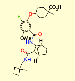 COc1cc(F)c(OC2CCC(C)(C(=O)O)CC2)cc1C(=O)NC1C(C(=O)NCC2(C)CCC2)[C@@H]2CC[C@H]1C2